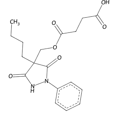 CCCCC1(COC(=O)CCC(=O)O)C(=O)NN(c2ccccc2)C1=O